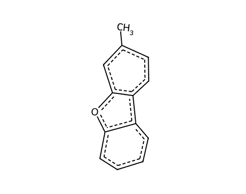 Cc1ccc2c(c1)oc1ccccc12